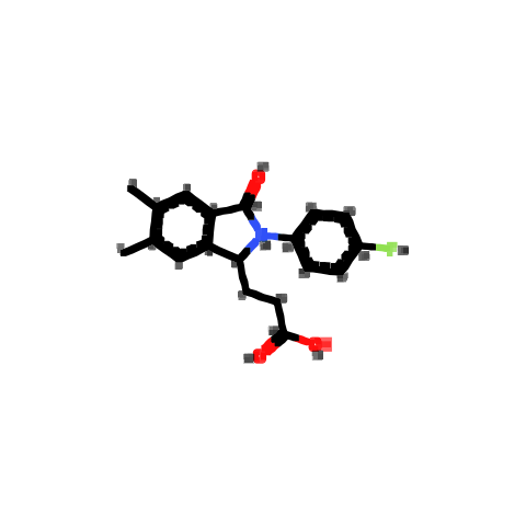 Cc1cc2c(cc1C)C(CCC(=O)O)N(c1ccc(F)cc1)C2=O